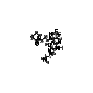 COc1nn(CCN(C)C)cc1Nc1ncc(C(F)(F)F)c(NCCCN2CCCCC2=O)n1